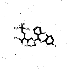 CC(C)(O)CCC(C(=O)O)C1CN(C2=Nc3cc(Cl)ccc3Oc3ccccc32)CCN1